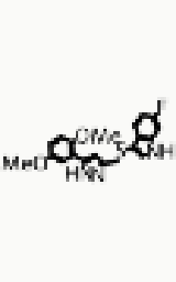 COc1ccc(OC)c(-c2cc(CSc3c[nH]c4cc(F)ccc34)n[nH]2)c1